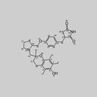 Cc1c(C)c2c(c(C)c1O)CCC(C)(CN1CCCC1COc1ccc(CC3SC(=O)NC3=O)cc1)O2